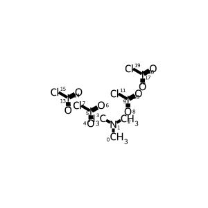 CN(C)C.O=I(=O)Cl.O=I(=O)Cl.O=I(=O)Cl.O=I(=O)Cl